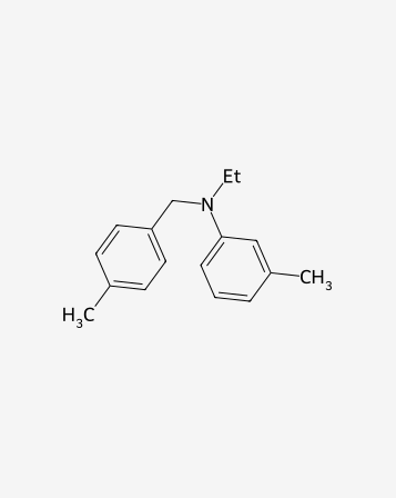 CCN(Cc1ccc(C)cc1)c1cccc(C)c1